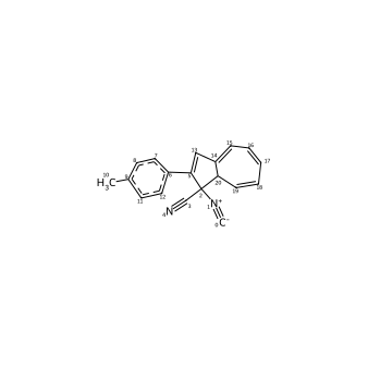 [C-]#[N+]C1(C#N)C(c2ccc(C)cc2)=CC2=CC=CC=CC21